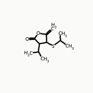 C=C1OC(=O)C(C(C)C)C1SC(C)C